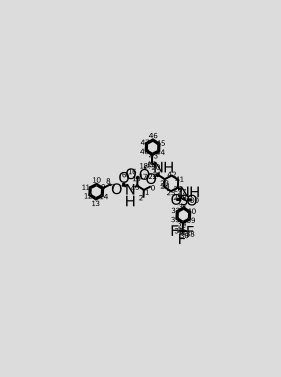 CC(C)C(NC(=O)OCc1ccccc1)C(=O)OC[C@@H](NC(=O)C1CCC(NS(=O)(=O)c2ccc(C(F)(F)F)cc2)CC1)c1ccccc1